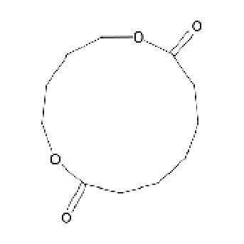 O=C1CCCCCC(=O)OCCCCO1